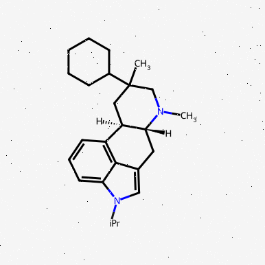 CC(C)n1cc2c3c(cccc31)[C@H]1CC(C)(C3CCCCC3)CN(C)[C@@H]1C2